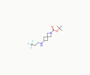 CC(C)(C)OC(=O)N1CC2(CC(NCCC(F)(F)F)C2)C1